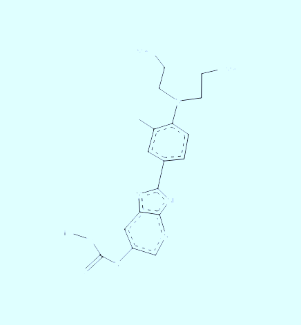 COCCN(CCOC)c1ccc(-c2nc3cc(NC(=O)OC(C)C)cnc3[nH]2)cc1F